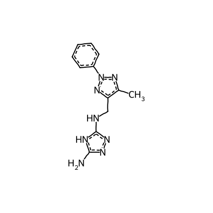 Cc1nn(-c2ccccc2)nc1CNc1nnc(N)[nH]1